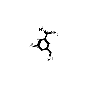 N=C(N)C1=CC(CO)CC(Cl)=C1